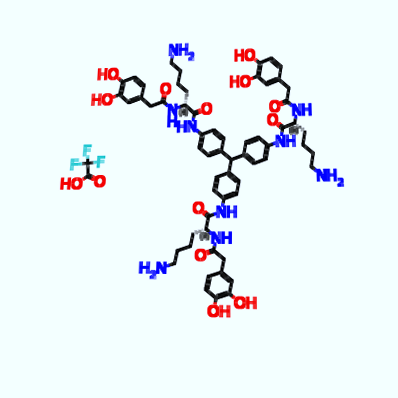 NCCCC[C@@H](NC(=O)Cc1ccc(O)c(O)c1)C(=O)Nc1ccc(C(c2ccc(NC(=O)[C@@H](CCCCN)NC(=O)Cc3ccc(O)c(O)c3)cc2)c2ccc(NC(=O)[C@@H](CCCCN)NC(=O)Cc3ccc(O)c(O)c3)cc2)cc1.O=C(O)C(F)(F)F